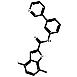 Cc1ccc(F)c2cc(C(=O)Nc3cccc(-c4cccnc4)c3)[nH]c12